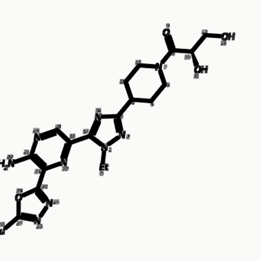 CCn1nc(C2CCN(C(=O)[C@H](O)CO)CC2)nc1-c1cnc(N)c(-c2nnc(C(C)(C)C)o2)n1